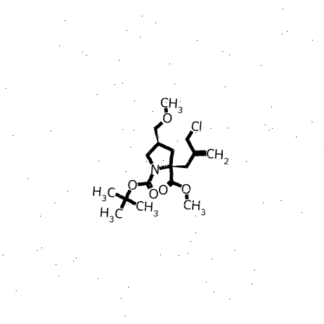 C=C(CCl)C[C@]1(C(=O)OC)C[C@H](COC)CN1C(=O)OC(C)(C)C